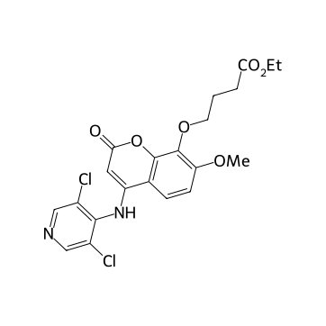 CCOC(=O)CCCOc1c(OC)ccc2c(Nc3c(Cl)cncc3Cl)cc(=O)oc12